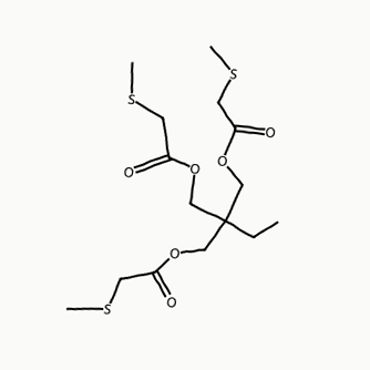 CCC(COC(=O)CSC)(COC(=O)CSC)COC(=O)CSC